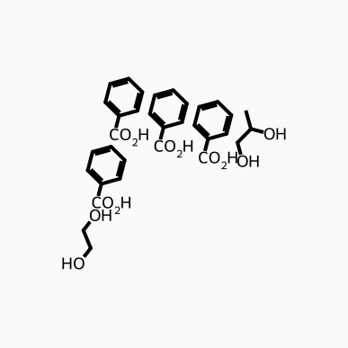 CC(O)CO.O=C(O)c1ccccc1.O=C(O)c1ccccc1.O=C(O)c1ccccc1.O=C(O)c1ccccc1.OCCO